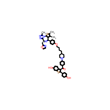 Cc1sc2c(c1C)C(c1ccc(OCCCCC3CCN(c4ccc(C(=O)c5c(-c6ccc(O)cc6)sc6cc(O)ccc56)cc4)CC3)cc1)=N[C@@H](Cc1ncco1)c1nnc(C)n1-2